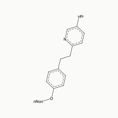 CCCCCCCCCOc1ccc(CCc2ccc(CCC)cn2)cc1